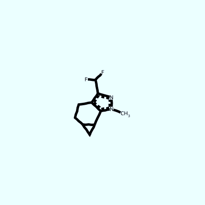 Cn1nc(C(F)F)c2c1C1CC1CC2